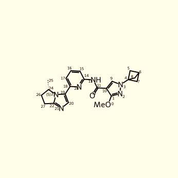 COc1nn(C23CC(C2)C3)cc1C(=O)Nc1cccc(-c2cnc3n2[C@@H](C)CC3)n1